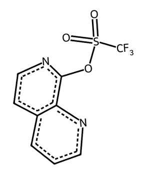 O=S(=O)(Oc1nccc2cccnc12)C(F)(F)F